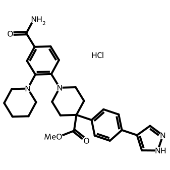 COC(=O)C1(c2ccc(-c3cn[nH]c3)cc2)CCN(c2ccc(C(N)=O)cc2N2CCCCC2)CC1.Cl